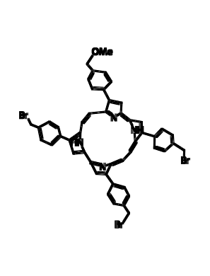 COCc1ccc(C2=Cc3nc2ccc2[nH]c(cc2-c2ccc(CBr)cc2)c2nc(ccc4[nH]c3cc4-c3ccc(CBr)cc3)C(c3ccc(CBr)cc3)=C2)cc1